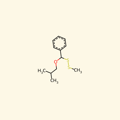 CSSC(OCC(C)C)c1ccccc1